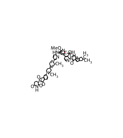 COc1ncc(-c2ccnc(N3CCn4c(cc5c4CC(C)(C)C5)C3=O)c2C(C)(C)O)cc1Nc1ccc(N2CCN(C3CCN(c4ccc5c(c4)C(=O)N(C4CCC(=O)NC4=O)C5=O)[C@@H](C)C3)C[C@@H]2C)cn1